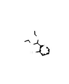 CCOC(OCC)c1ncccc1O